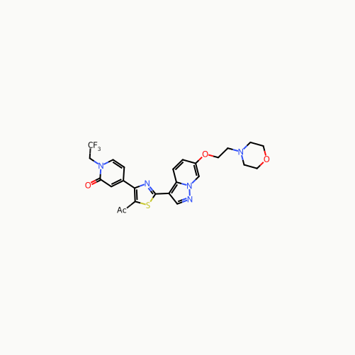 CC(=O)c1sc(-c2cnn3cc(OCCN4CCOCC4)ccc23)nc1-c1ccn(CC(F)(F)F)c(=O)c1